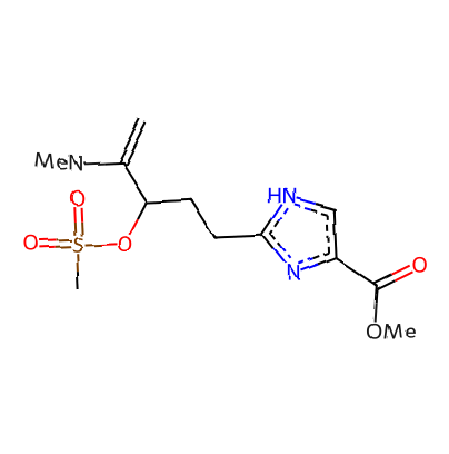 C=C(NC)C(CCc1nc(C(=O)OC)c[nH]1)OS(C)(=O)=O